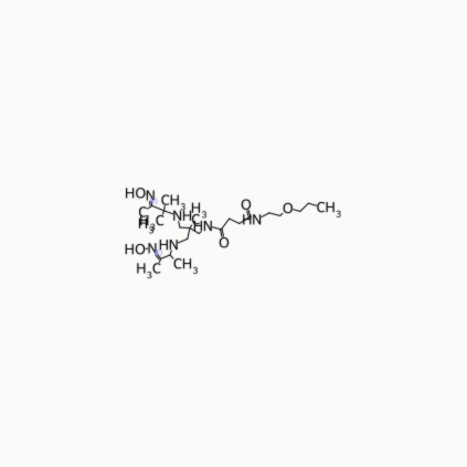 CCCOCCNC(=O)CCC(=O)NCC(C)(CNC(C)/C(C)=N/O)CNC(C)(C)/C(C)=N/O